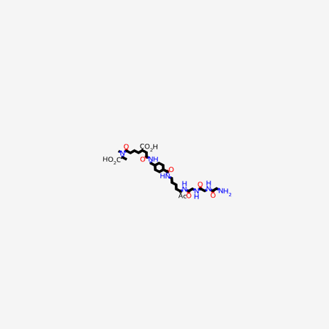 CC(=O)C(CCCCNC(=O)C1CCC(CNC(=O)C[C@@H](CCCC(=O)N(C)[C@@H](C)C(=O)O)C(=O)O)CC1)NC(=O)CNC(=O)CNC(=O)CN